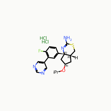 CC(C)O[C@@H]1C[C@H]2CSC(N)=N[C@@]2(c2ccc(F)c(-c3cncnc3)c2)C1.Cl.Cl